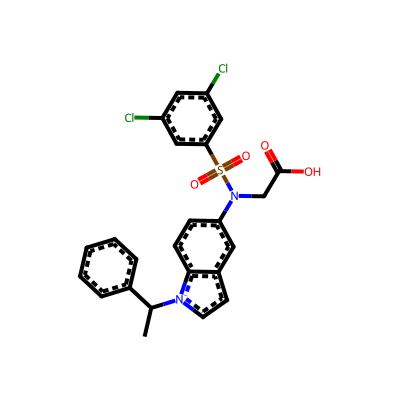 CC(c1ccccc1)n1ccc2cc(N(CC(=O)O)S(=O)(=O)c3cc(Cl)cc(Cl)c3)ccc21